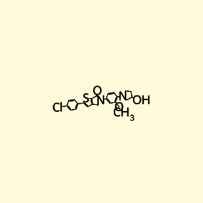 COc1cc(N2Cc3cc(-c4ccc(Cl)cc4)sc3C2=O)ccc1N1CC[C@@H](O)C1